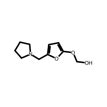 OCOc1ccc(CN2CCCC2)o1